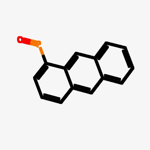 O=Pc1cccc2cc3ccccc3cc12